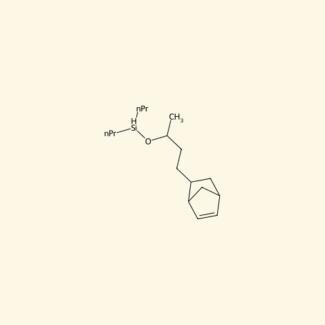 CCC[SiH](CCC)OC(C)CCC1CC2C=CC1C2